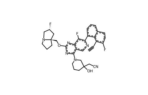 C#Cc1c(F)ccc2cccc(-c3ncc4c(N5CCCC(O)(CC#N)C5)nc(OC[C@@]56CCCN5C[C@H](F)C6)nc4c3F)c12